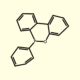 c1ccc(P2Oc3ccccc3-c3ccccc32)cc1